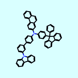 c1ccc(C2(c3ccc(N(c4ccc(-c5cccc(-n6c7ccccc7c7ccccc76)c5)cc4)c4ccc5c(ccc6ccccc65)c4)cc3)c3ccccc3-c3ccccc32)cc1